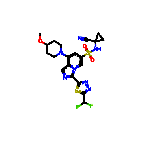 COC1CCN(c2cc(S(=O)(=O)NC3(C#N)CC3)cn3c(-c4nnc(C(F)F)s4)ncc23)CC1